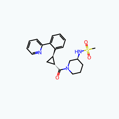 CS(=O)(=O)N[C@H]1CCCN(C(=O)[C@@H]2C[C@H]2c2ccccc2-c2ccccn2)C1